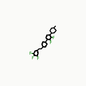 CC1CCC(c2ccc(-c3ccc(CCc4cc(F)c(F)c(F)c4)cc3)c(F)c2F)CC1